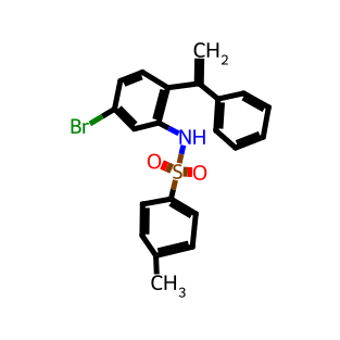 C=C(c1ccccc1)c1ccc(Br)cc1NS(=O)(=O)c1ccc(C)cc1